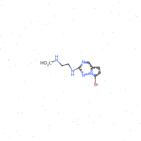 O=C(O)NCCNc1ncc2ccc(Br)n2n1